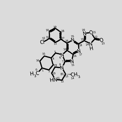 CC1CCC(Cn2c(N3CCNC[C@H]3C)nc3nc(-c4noc(=O)[nH]4)nc(-c4cccc(Cl)c4)c32)CC1